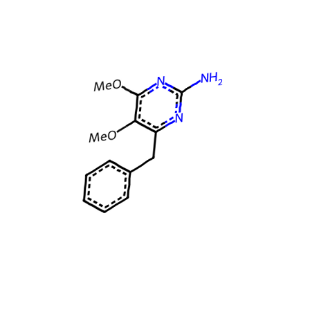 COc1nc(N)nc(Cc2ccccc2)c1OC